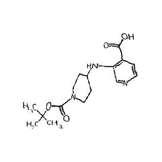 CC(C)(C)OC(=O)N1CCC(Nc2cnccc2C(=O)O)CC1